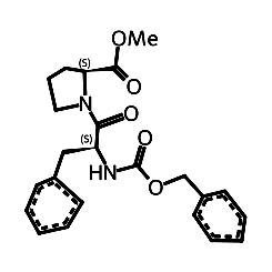 COC(=O)[C@@H]1CCCN1C(=O)[C@H](Cc1ccccc1)NC(=O)OCc1ccccc1